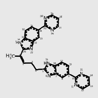 CC(=CCCc1nc2cc(-c3ncccn3)ccc2[nH]1)c1nc2cc(-c3ncccn3)ccc2[nH]1